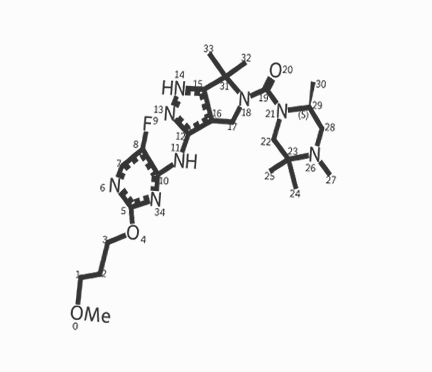 COCCCOc1ncc(F)c(Nc2n[nH]c3c2CN(C(=O)N2CC(C)(C)N(C)C[C@@H]2C)C3(C)C)n1